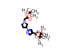 CC(C)(C)OC(=O)CN1CCC(n2cc(B3OC(C)(C)C(C)(C)O3)cn2)C1